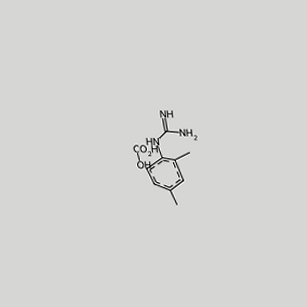 Cc1ccc(NC(=N)N)c(C)c1.O=C(O)O